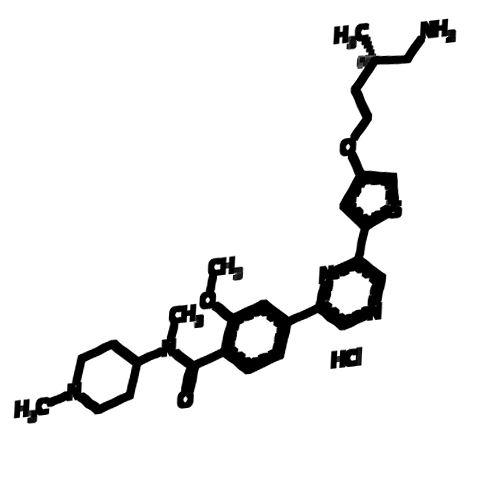 COc1cc(-c2cncc(-c3cc(OCC[C@H](C)CN)cs3)n2)ccc1C(=O)N(C)C1CCN(C)CC1.Cl